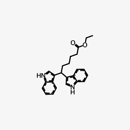 CCOC(=O)CCCCC(c1c[nH]c2ccccc12)c1c[nH]c2ccccc12